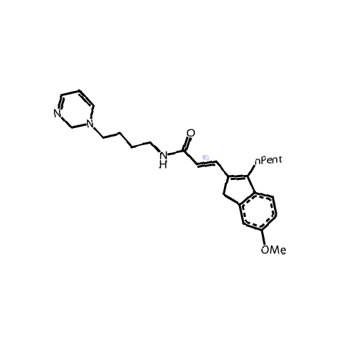 CCCCCC1=C(/C=C/C(=O)NCCCCN2C=CC=NC2)Cc2cc(OC)ccc21